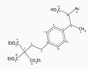 CCOC(=O)C(CCc1ccc(C(C)C(C(C)=O)C(=O)O)cc1)(C(=O)OCC)C(=O)OCC